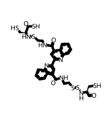 O=C[C@H](CS)NSSCCNC(=O)c1cc(-c2cc(C(=O)NCCSN[C@@H](CS)C(=O)S)c3ccccc3n2)nc2ccccc12